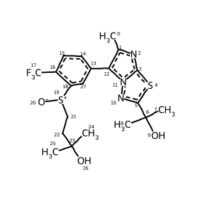 Cc1nc2sc(C(C)(C)O)nn2c1-c1ccc(C(F)(F)F)c([S+]([O-])CCC(C)(C)O)c1